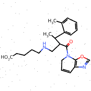 Cc1ccccc1C(C)C(CNCCCCC(=O)O)C(=O)N1CC=Cc2ncoc21